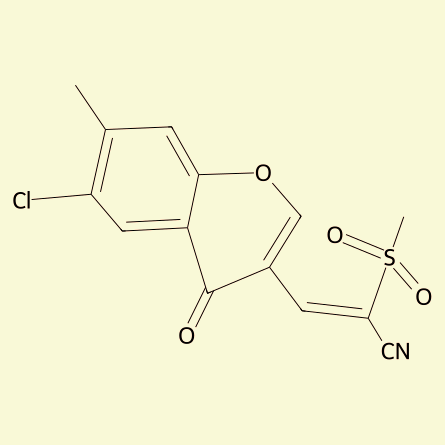 Cc1cc2occ(C=C(C#N)S(C)(=O)=O)c(=O)c2cc1Cl